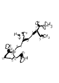 C=C/C(=C\C=C(/C)CCN1C(=O)CC[C@@H]1CO)C(=O)OC